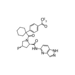 O=C(Nc1ccc2[nH]ncc2n1)[C@H]1C[C@@H](F)CN1C(=O)C1(c2ccc(C(=O)C(F)(F)F)cc2)CCCCC1